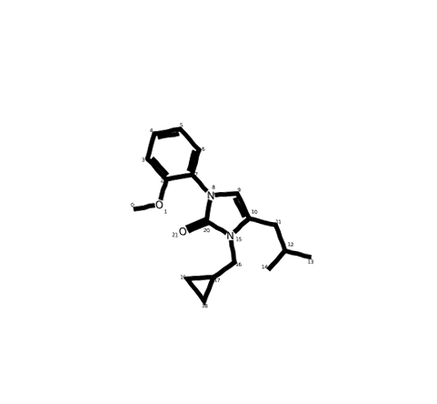 COc1ccccc1-n1cc(CC(C)C)n(CC2CC2)c1=O